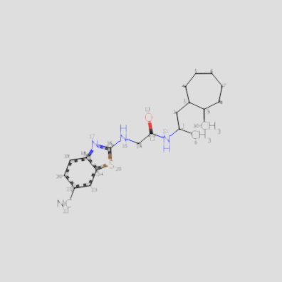 CC(CC1CCCCCC1C)NC(=O)CNc1nc2ccc(C#N)cc2s1